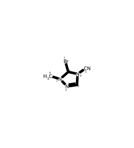 CN1N=CN(C#N)C1Br